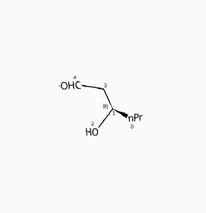 CCC[C@@H](O)C[C]=O